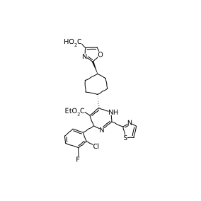 CCOC(=O)C1=C([C@H]2CC[C@H](c3nc(C(=O)O)co3)CC2)NC(c2nccs2)=NC1c1cccc(F)c1Cl